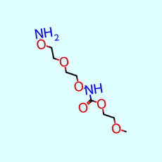 COCCOC(=O)NOCCOCCON